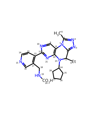 CCC1c2nnc(C)n2-c2cnc(-c3ccncc3CNC(=O)O)nc2N1C1CCCC1